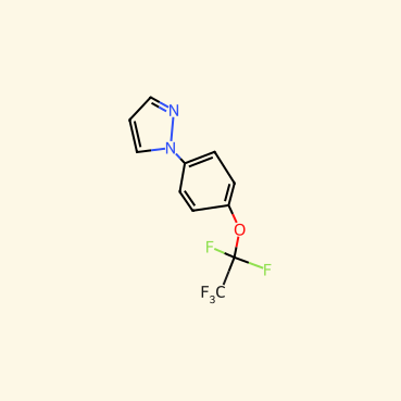 FC(F)(F)C(F)(F)Oc1ccc(-n2cccn2)cc1